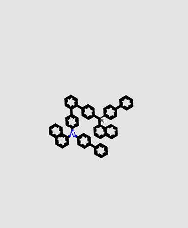 c1ccc(-c2ccc([C@H](c3ccc(-c4ccccc4-c4ccc(N(c5ccc(-c6ccccc6)cc5)c5cccc6ccccc56)cc4)cc3)c3cccc4ccccc34)cc2)cc1